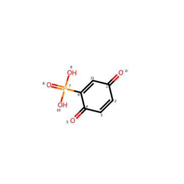 O=C1C=CC(=O)C(P(=O)(O)O)=C1